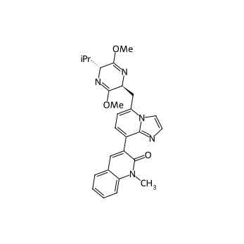 COC1=N[C@H](C(C)C)C(OC)=N[C@H]1Cc1ccc(-c2cc3ccccc3n(C)c2=O)c2nccn12